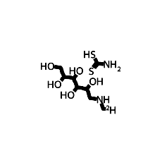 NC(=S)S.[2H]CNCC(O)C(O)C(O)C(O)CO